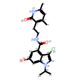 Cc1cc(C)c(CCNC(=O)c2cc(Br)cc3c2c(Cl)cn3C(C)C)c(=O)[nH]1